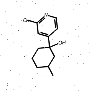 CC1CCCC(O)(c2ccnc(Cl)c2)C1